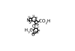 Cc1c(Oc2sc(C(=O)O)c3c2-c2sncc2CC3)ccc[n+]1[O-]